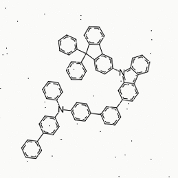 c1ccc(-c2ccc(N(c3ccccc3)c3ccc(-c4cccc(-c5ccc6c7ccccc7n(-c7ccc8c(c7)-c7ccccc7C8(c7ccccc7)c7ccccc7)c6c5)c4)cc3)cc2)cc1